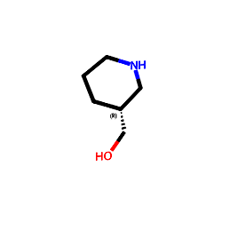 OC[C@@H]1CCCNC1